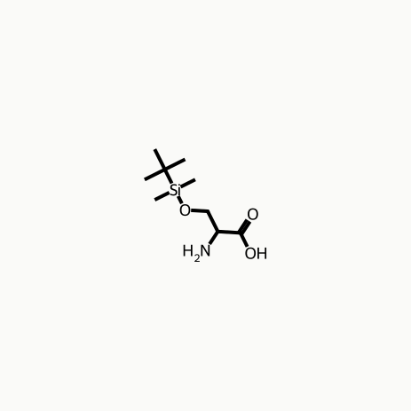 CC(C)(C)[Si](C)(C)OCC(N)C(=O)O